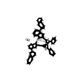 C1=C(c2ccc(-c3ccccc3)o2)[CH]([Zr+2][CH]2C(c3ccc(-c4ccccc4)o3)=Cc3c(-c4ccc5ccccc5c4)cccc32)c2cccc(-c3ccc4ccccc4c3)c21.[Cl-].[Cl-]